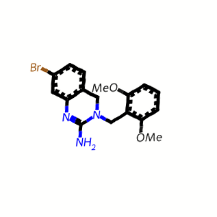 COc1cccc(OC)c1CN1Cc2ccc(Br)cc2N=C1N